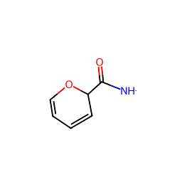 [NH]C(=O)C1C=CC=CO1